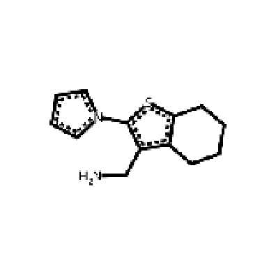 NCc1c(-n2cccc2)sc2c1CCCC2